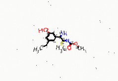 CCc1cc(O)cc(C(=N)C(=NC(=O)OC)SC)c1